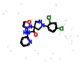 O=C(Nc1ccccn1)C1(N2NC=CO2)C=NN(c2ccc(Cl)cc2Cl)C1